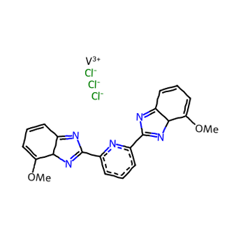 COC1=CC=CC2=NC(c3cccc(C4=NC5C(OC)=CC=CC5=N4)n3)=NC12.[Cl-].[Cl-].[Cl-].[V+3]